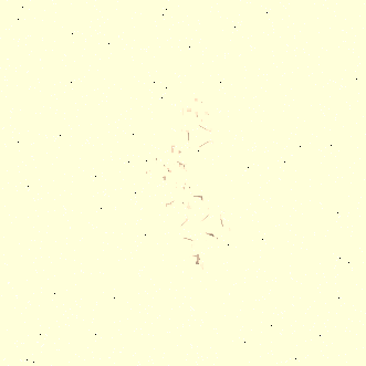 CC1(C)CC([C@@H]2NC(=O)N(c3ccc(C#N)c4ncccc34)C2=O)N(C(=O)Nc2cccc(C(F)(F)F)c2)C1